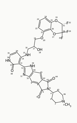 CN1CCC(N2C(=O)c3cc4nc(-c5c(NCC(O)COc6cccc7c6OC(F)(F)[C@@H](F)O7)cc[nH]c5=O)[nH]c4cc3C2=O)CC1